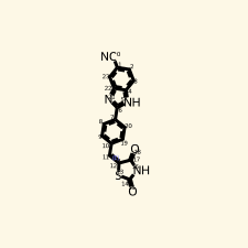 N#Cc1ccc2[nH]c(-c3ccc(/C=C4/SC(=O)NC4=O)cc3)nc2c1